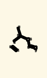 C=C.CC(C)OC=O